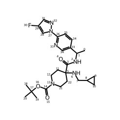 CC(NC(=O)C1(NCC2CC2)CCN(C(=O)OC(C)(C)C)CC1)c1ccc(-n2cc(F)cn2)nc1